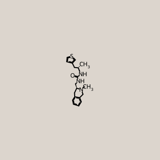 C[C@@H](Cc1ccsc1)NC(=O)NC[C@@H]1Cc2ccccc2CN1C